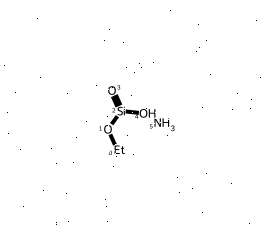 CCO[Si](=O)O.N